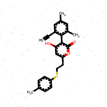 C#Cc1cc(C)cc(C)c1-c1c(O)cc(CCSc2ccc(C)cc2)oc1=O